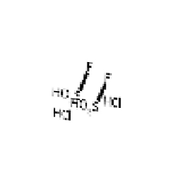 Cl.Cl.O=S(=O)(O)F.O=S(=O)(O)F